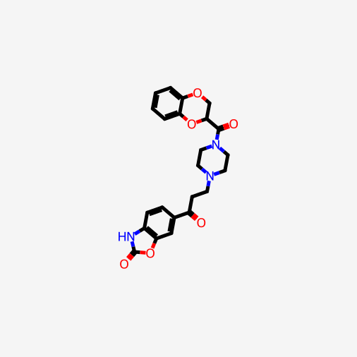 O=C(CCN1CCN(C(=O)C2COc3ccccc3O2)CC1)c1ccc2[nH]c(=O)oc2c1